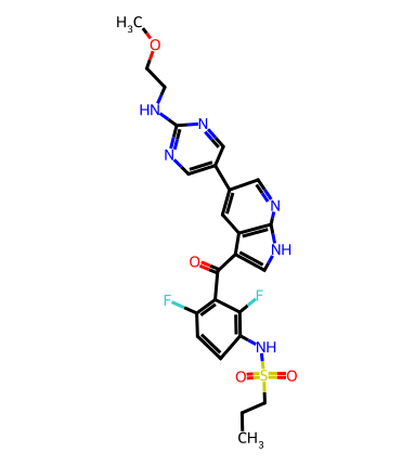 CCCS(=O)(=O)Nc1ccc(F)c(C(=O)c2c[nH]c3ncc(-c4cnc(NCCOC)nc4)cc23)c1F